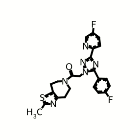 Cc1nc2c(s1)CCN(C(=O)Cn1nc(-c3ccc(F)cn3)nc1-c1ccc(F)cc1)CC2